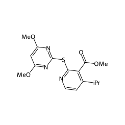 COC(=O)c1c(C(C)C)ccnc1Sc1nc(OC)cc(OC)n1